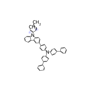 C=C/C=C\C(=C/C)n1c2ccccc2c2cc(-c3ccc(N(c4ccc(-c5ccccc5)cc4)c4ccc(-c5ccccc5)cc4)cc3)ccc21